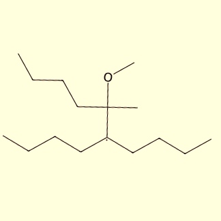 CCCC[C](CCCC)C(C)(CCCC)OC